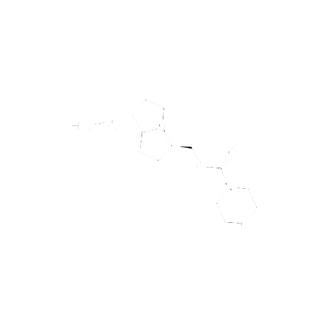 COC[C@]12CCCN1[C@@H](COC(=O)N1CCOCC1)CC2